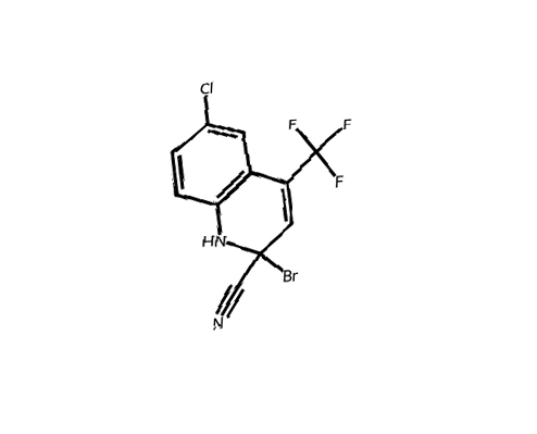 N#CC1(Br)C=C(C(F)(F)F)c2cc(Cl)ccc2N1